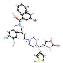 CN(C[C@@H](CCN1CCN([C@@H](c2ccsc2)[C@H]2COC(=O)O2)CC1)c1ccc(Cl)c(Cl)c1)C(=O)c1cc(C#N)cc2ccccc12